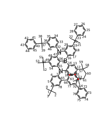 CC(C)(C)c1ccc(N2c3cc4c(cc3B3c5ccc(C(C)(C)c6ccccc6)cc5N(c5cccc(C(C)(C)c6ccccc6)c5)c5cc(C(C)(C)C)cc2c53)C(C)(C)CCC4(C)C)c(-c2cccc(-c3ccccc3)c2)c1